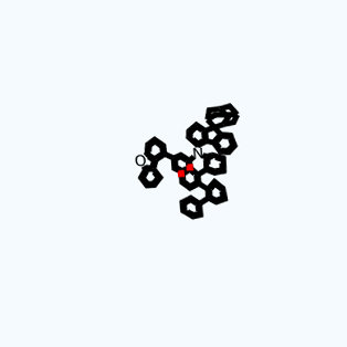 c1ccc(-c2ccccc2-c2ccccc2-c2ccccc2N(c2cccc(-c3cccc4oc5ccccc5c34)c2)c2cccc3c2-c2ccccc2C32C3CC4CC(C3)CC2C4)cc1